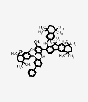 Cc1cc(-c2ccc3c(c2Nc2ccc4c(c2)C(C)(C)CCC4(C)C)C(C)(C)c2cc4c(cc2-3)C(C)(C)CCC4(C)C)c2c(c1)N(c1cc3c(cc1C)C(C)(C)CCC3(C)C)c1cc(-c3ccccc3)ccc1B2